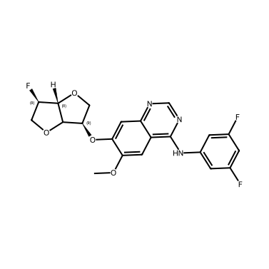 COc1cc2c(Nc3cc(F)cc(F)c3)ncnc2cc1O[C@@H]1CO[C@@H]2C1OC[C@H]2F